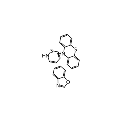 C1=CNSC=C1.c1ccc2c(c1)Nc1ccccc1S2.c1ccc2ocnc2c1